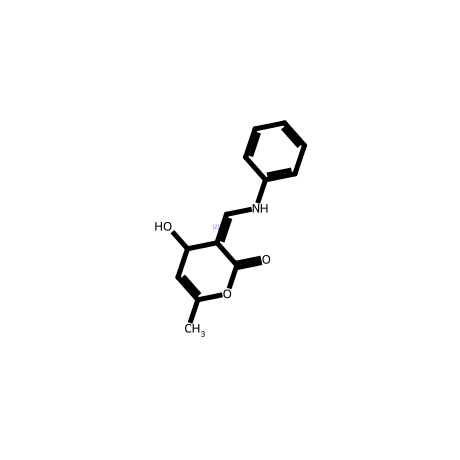 CC1=CC(O)/C(=C/Nc2ccccc2)C(=O)O1